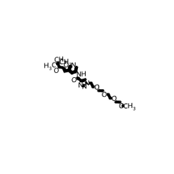 COCCOCCOCCOCCn1cc(C(=O)Nc2cnc3oc(C(=O)C(C)(C)C)cc3c2)nn1